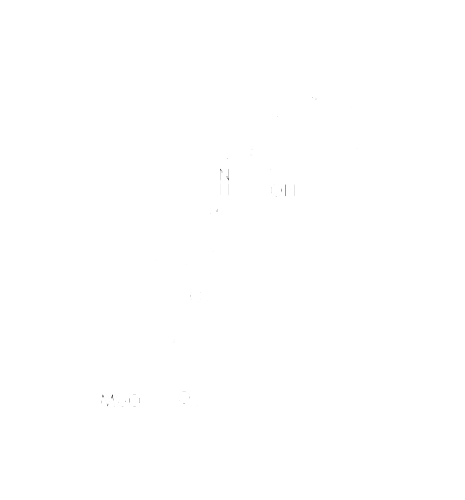 COC(=O)CCCOc1ccc(CC(C)NCC(O)c2ccccc2)cc1